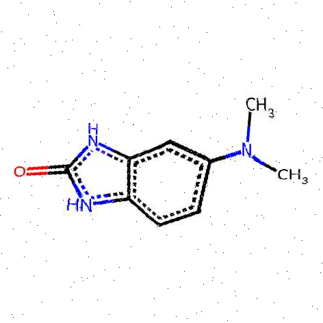 CN(C)c1ccc2[nH]c(=O)[nH]c2c1